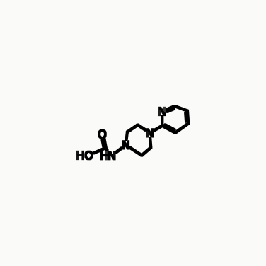 O=C(O)NN1CCN(c2ccccn2)CC1